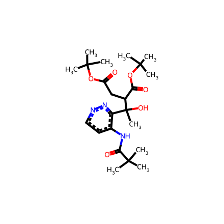 CC(C)(C)OC(=O)CC(C(=O)OC(C)(C)C)C(C)(O)c1nnccc1NC(=O)C(C)(C)C